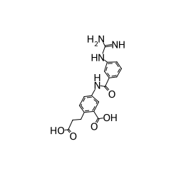 N=C(N)Nc1cccc(C(=O)Nc2ccc(CCC(=O)O)c(C(=O)O)c2)c1